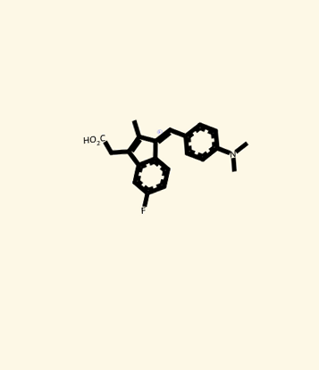 CC1=C(CC(=O)O)c2cc(F)ccc2/C1=C\c1ccc(N(C)C)cc1